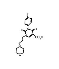 O=C(O)c1cn(CCCN2CCOCC2)c(=O)n(-c2ccc(F)cc2)c1=O